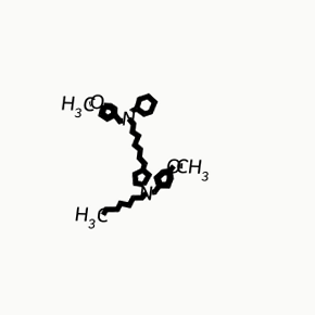 CCCCCCCN(Cc1ccc(OC)cc1)C1CCC(CCCCCCCN(Cc2ccc(OC)cc2)CC2CCCCC2)C1